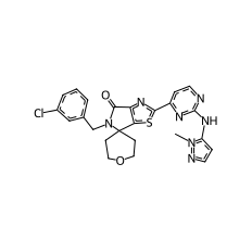 Cn1nccc1Nc1nccc(-c2nc3c(s2)C2(CCOCC2)N(Cc2cccc(Cl)c2)C3=O)n1